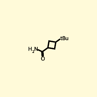 CC(C)(C)C1CC(C(N)=O)C1